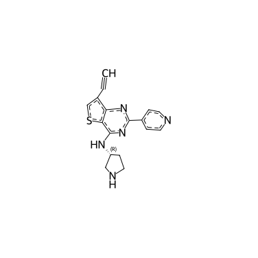 C#Cc1csc2c(N[C@@H]3CCNC3)nc(-c3ccncc3)nc12